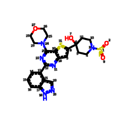 O=[SH](=O)N1CCC(O)(c2cc3nc(-c4cccc5[nH]ncc45)nc(N4CCOCC4)c3s2)CC1